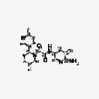 Cc1ccc([C@@H]2CC[C@@H](C)CN2C(=O)C(=O)Nc2cnc(N)c(C)c2)cn1